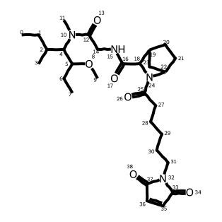 CCC(C)C(C(CC)OC)N(C)C(=O)CNC(=O)C1C2CCC(C2)N1C(=O)CCCCCN1C(=O)C=CC1=O